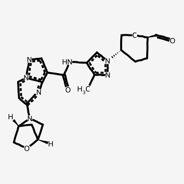 Cc1nn([C@H]2CC[C@H](C=O)CC2)cc1NC(=O)c1cnn2ccc(N3C[C@H]4C[C@@H]3CO4)nc12